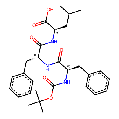 CC(C)C[C@@H](NC(=O)[C@@H](Cc1ccccc1)NC(=O)[C@@H](Cc1ccccc1)NC(=O)OC(C)(C)C)C(=O)O